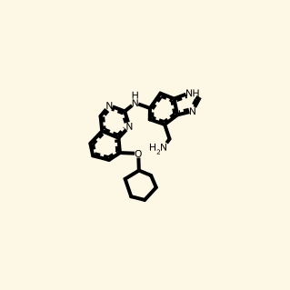 NCc1cc(Nc2ncc3cccc(OC4CCCCC4)c3n2)cc2[nH]cnc12